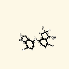 Cc1ccc(Oc2ccc(F)c3[nH]ncc23)c2c1C(O)C(F)(F)C2